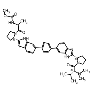 COC(=O)NC(C)C(=O)N1CCC[C@H]1c1nc2ccc(-c3ccc(-c4ccc5nc([C@@H]6CCCN6C(=O)[C@@H](C(C)C)N(C)C)[nH]c5c4)cc3)cc2[nH]1